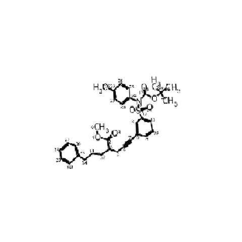 COC(=O)C(CC#Cc1cccc(S(=O)(=O)N(C(=O)OC(C)(C)C)c2ccc(C)cc2)c1)CCCc1ccccc1